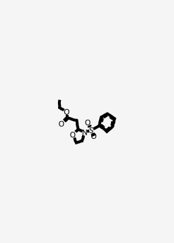 CCOC(=O)CC1OCCN1S(=O)(=O)c1ccccc1